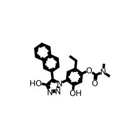 CCc1cc(-n2nnc(O)c2-c2ccc3ccccc3c2)c(O)cc1OC(=O)N(C)C